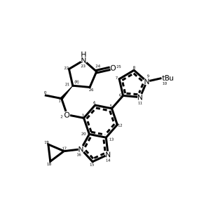 CC(Oc1cc(-c2ccn(C(C)(C)C)n2)cc2ncn(C3CC3)c12)[C@H]1CNC(=O)C1